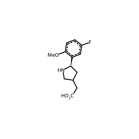 COc1ccc(F)cc1[C@H]1CC(CC(=O)O)CN1